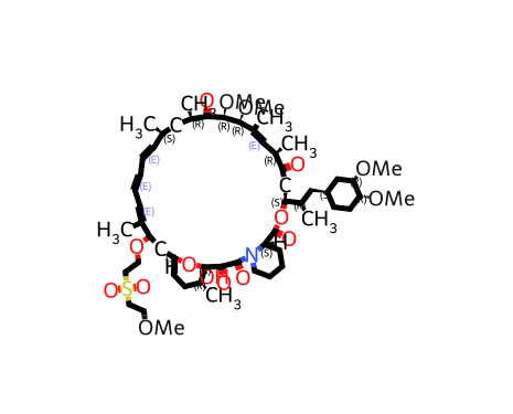 COCCS(=O)(=O)CCOC1C[C@@H]2CC[C@@H](C)[C@@](O)(O2)C(=O)C(=O)N2CCCC[C@H]2C(=O)O[C@H]([C@H](C)C[C@@H]2CC[C@@H](OC)[C@H](OC)C2)CC(=O)[C@H](C)/C=C(\C)[C@@H](OC)[C@@H](OC)C(=O)[C@H](C)C[C@H](C)/C=C/C=C/C=C/1C